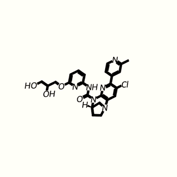 Cc1cc(-c2nc3c(cc2Cl)N2CC[C@@H](C2)N3C(=O)Nc2cccc(OCC(O)CO)n2)ccn1